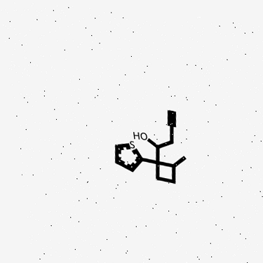 C#CCC(O)C1(c2cccs2)CCC1C